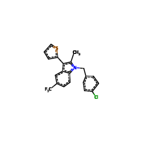 Cc1c(-c2cccs2)c2cc(C(F)(F)F)ccc2n1Cc1ccc(Cl)cc1